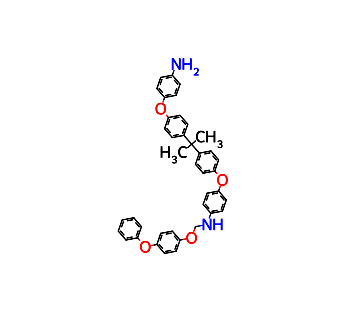 CC(C)(c1ccc(Oc2ccc(N)cc2)cc1)c1ccc(Oc2ccc(NCOc3ccc(Oc4ccccc4)cc3)cc2)cc1